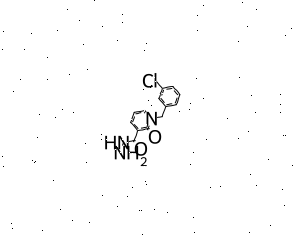 NNC(=O)c1cccn(Cc2cccc(Cl)c2)c1=O